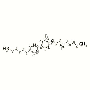 CCCCCCc1cnc(-c2ccc(OCCC(F)CCCCC)c(F)c2)nc1